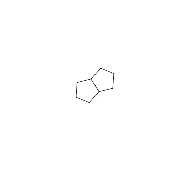 C1C[C]2CCCC2C1